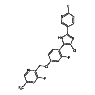 Fc1ccc(-c2nc(Cl)c(-c3ccc(OCc4ncc(C(F)(F)F)cc4F)cc3F)[nH]2)cn1